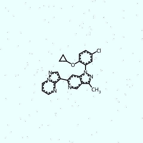 Cc1nn(-c2cc(Cl)ccc2OC2CC2)c2cc(-c3cnn4cccnc34)ncc12